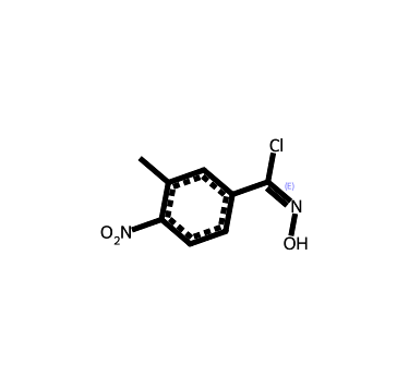 Cc1cc(/C(Cl)=N\O)ccc1[N+](=O)[O-]